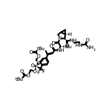 CCCC[C@H](NC(=O)/C=C(\C)c1ccc(C(F)(F)P(=O)(OCOC(=O)C(C)(C)C)OCOC(=O)C(C)(C)C)cc1)C(=O)N1CC2C[C@H]2[C@H]1C(=O)NCCNC(N)=O